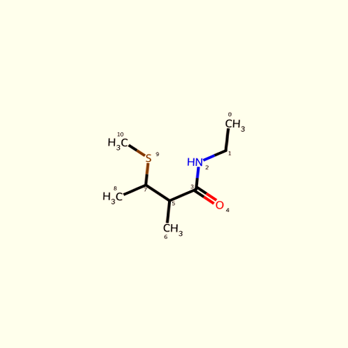 CCNC(=O)C(C)C(C)SC